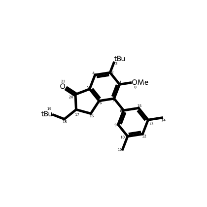 COc1c(C(C)(C)C)cc2c(c1-c1cc(C)cc(C)c1)CC(CC(C)(C)C)C2=O